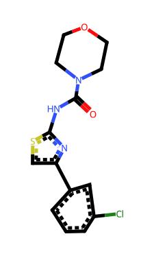 O=C(Nc1nc(-c2cccc(Cl)c2)cs1)N1CCOCC1